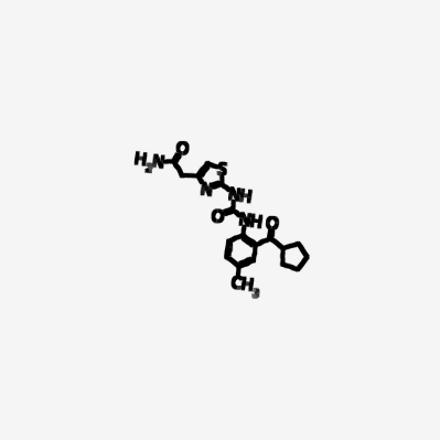 Cc1ccc(NC(=O)Nc2nc(CC(N)=O)cs2)c(C(=O)C2CCCC2)c1